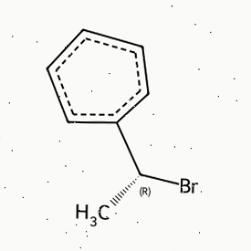 C[C@@H](Br)c1ccccc1